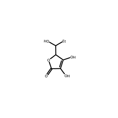 CCC(O)C1OC(=O)C(O)=C1O